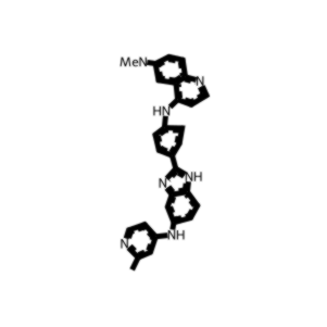 CNc1ccc2nccc(Nc3ccc(-c4nc5cc(Nc6ccnc(C)c6)ccc5[nH]4)cc3)c2c1